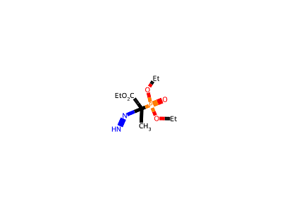 CCOC(=O)C(C)(N=N)P(=O)(OCC)OCC